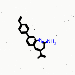 C=Cc1ccc(-c2ccc3c(c2)N=C(N)CC(C(=C)C)=C3)cc1